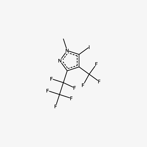 Cn1nc(C(F)(F)C(F)(F)F)c(C(F)(F)F)c1I